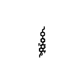 CCCC1CCC(c2ccc(C(F)=C(F)c3ccc(OCC)c(F)c3F)cc2)CC1